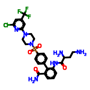 NCCC(N)C(=O)Nc1cccc(C(N)=O)c1-c1ccc(S(=O)(=O)N2CCN(c3cc(C(F)(F)F)cc(Cl)n3)CC2)cc1